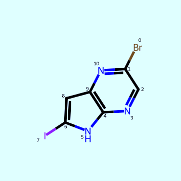 Brc1cnc2[nH]c(I)cc2n1